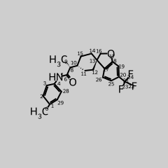 Cc1ccc(NC(=O)[C@H](C)[C@H]2CC[C@@]3(CC2)COc2cc(C(F)(F)F)ccc23)cc1